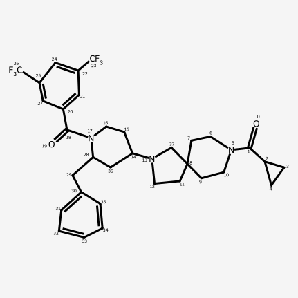 O=C(C1CC1)N1CCC2(CC1)CCN(C1CCN(C(=O)c3cc(C(F)(F)F)cc(C(F)(F)F)c3)C(Cc3ccccc3)C1)C2